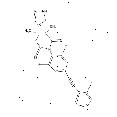 CN1C(=O)N(c2c(F)cc(C#Cc3ccccc3F)cc2F)C(=O)C[C@@]1(C)c1cn[nH]c1